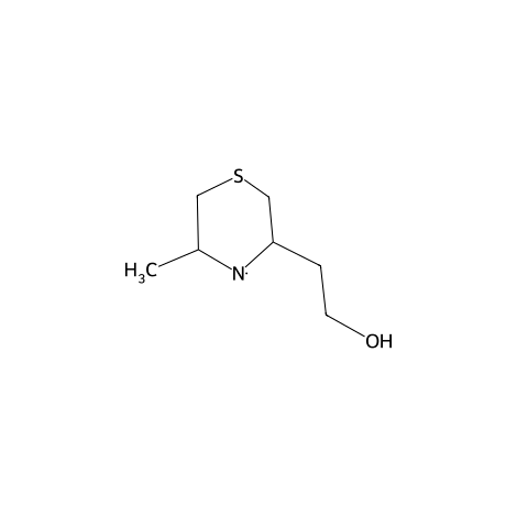 CC1CSCC(CCO)[N]1